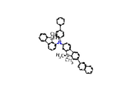 C[Si]1(C)c2cc(-c3ccc4ccccc4c3)ccc2-c2ccc(N(c3ccc(-c4ccccc4)cc3)c3cccc4c3[Si](C)(C)c3ccccc3-4)cc21